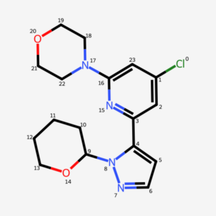 Clc1cc(-c2ccnn2C2CCCCO2)nc(N2CCOCC2)c1